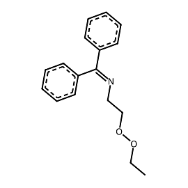 CCOOCCN=C(c1ccccc1)c1ccccc1